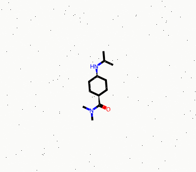 CC(C)N[C@H]1CC[C@@H](C(=O)N(C)C)CC1